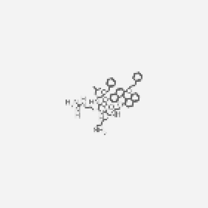 CC(C)C[C@H](NC(=O)[C@@H](CCCNC(=N)N)NC(=O)[C@@H](CCCCN)NC(=O)COc1ccc2ccccc2c1-c1c(OCCc2ccccc2)ccc2ccccc12)C(=O)OCc1ccccc1